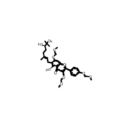 COCOc1ccc(-c2oc3cc(OCOC)c(C/C=C(\C)CC[C@@H](O)C(C)(C)O)c(O)c3c(=O)c2OCOC)cc1